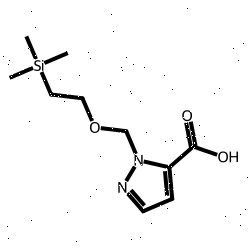 C[Si](C)(C)CCOCn1nccc1C(=O)O